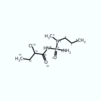 CCCN(C)P(N)(=O)NC(=O)C(Cl)CC